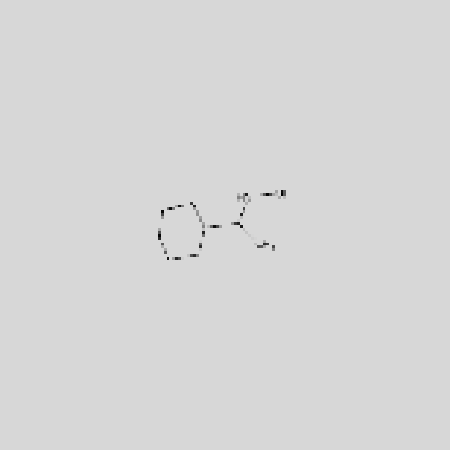 CC(NO)C1CCCCC1